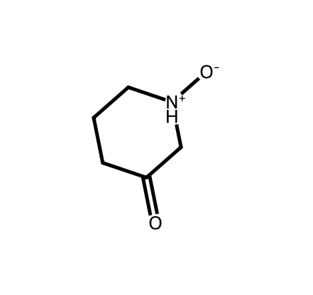 O=C1CCC[NH+]([O-])C1